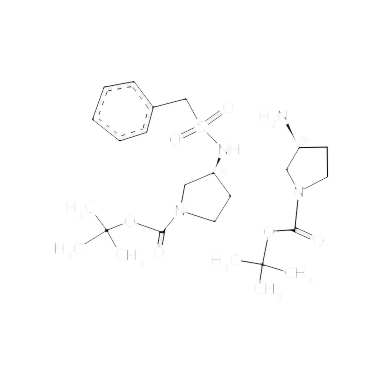 CC(C)(C)OC(=O)N1CC[C@H](N)C1.CC(C)(C)OC(=O)N1CC[C@H](NS(=O)(=O)Cc2ccccc2)C1